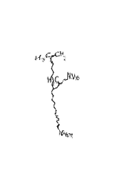 C=C(C)CCCCCCCC(CCCCCCCSC/C=C/CCCCC)CC(=C)CCCNC